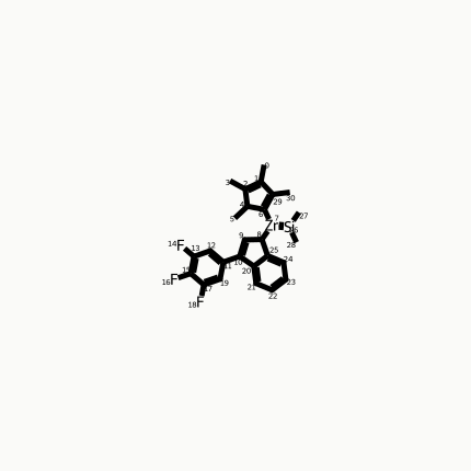 CC1=C(C)C(C)[C]([Zr]([CH]2C=C(c3cc(F)c(F)c(F)c3)c3ccccc32)=[Si](C)C)=C1C